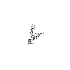 O=C(O)C(F)(F)F.Oc1cccc(Nc2ccnc3cc(-c4ccc(CN5CCCCC5)cc4)sc23)c1